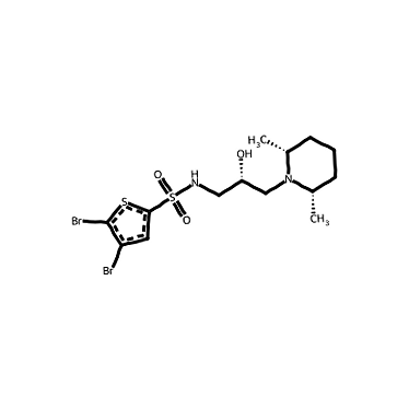 C[C@@H]1CCC[C@H](C)N1C[C@@H](O)CNS(=O)(=O)c1cc(Br)c(Br)s1